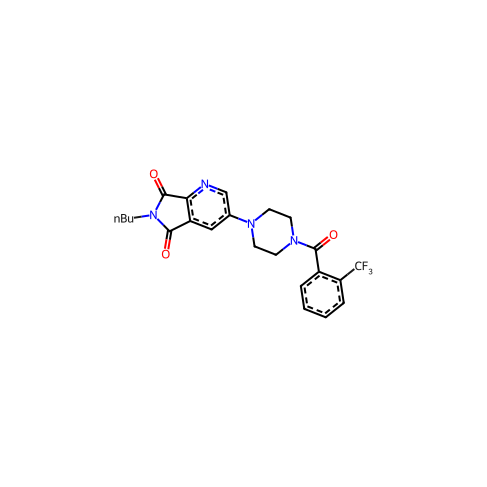 CCCCN1C(=O)c2cc(N3CCN(C(=O)c4ccccc4C(F)(F)F)CC3)cnc2C1=O